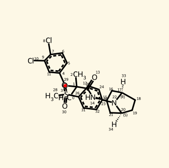 CC(C)(Oc1ccc(Cl)c(Cl)c1)C(=O)N[C@H]1C[C@H]2CC[C@@H](C1)N2c1ccc(S(C)(=O)=O)cc1